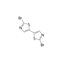 Brc1ncc(-c2cnc(Br)s2)s1